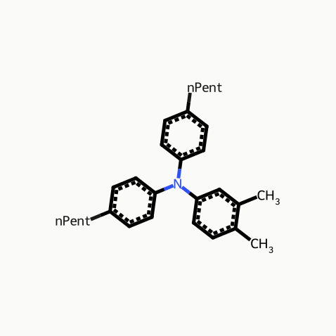 CCCCCc1ccc(N(c2ccc(CCCCC)cc2)c2ccc(C)c(C)c2)cc1